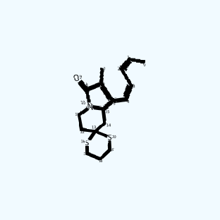 C/C=C\C=C/C1=C(C)C(=O)N2CCC3(CC12)SCCCS3